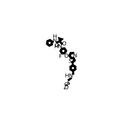 COOSCCNCc1ccc(-c2cc3nccc(Oc4ccc(NC(=O)C5(C(=O)Nc6ccccc6)CC5)cc4F)c3s2)cc1